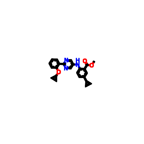 COC(=O)c1cc(C2CC2)ccc1Nc1cnc(-c2ccccc2OC2CC2)nc1